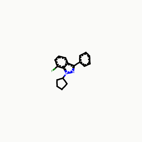 Fc1cccc2c(-c3cc[c]cc3)nn(C3CCCC3)c12